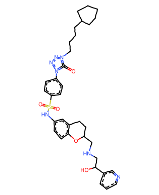 O=c1n(CCCCC2CCCCC2)nnn1-c1ccc(S(=O)(=O)Nc2ccc3c(c2)CCC(CNCC(O)c2cccnc2)O3)cc1